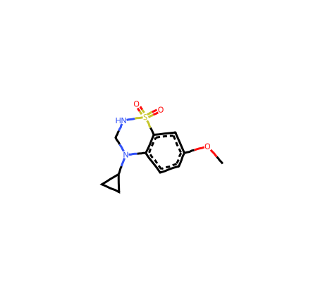 COc1ccc2c(c1)S(=O)(=O)NCN2C1CC1